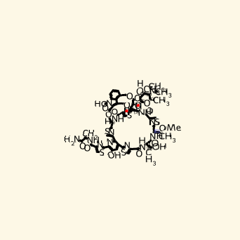 C=C(NC(=O)c1csc(-c2nc3c(cc2O)-c2nc(cs2)C(=O)N[C@@H]([C@@H](C)O)C(=O)N/C(=C(\C)OC)c2nc(cs2)C(=O)N[C@@H]2c4nc(cs4)C(=O)N[C@@H](COC(=O)c4c5c6c(cccc6n4O)COC(=O)[C@@H](O[C@H]4C[C@](C)(O)[C@H](N(C)C)[C@H](C)O4)[C@H]2OC5)c2nc-3cs2)n1)C(N)=O